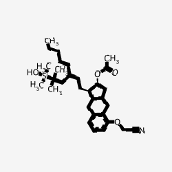 CCCCCC(CC[C@@H]1C2Cc3cccc(OCC#N)c3CC2C[C@H]1OC(C)=O)CC(C)(C)[Si](C)(C)O